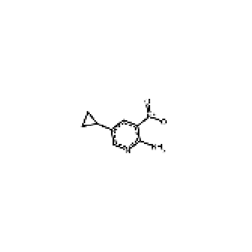 Nc1ncc(C2CC2)cc1[N+](=O)[O-]